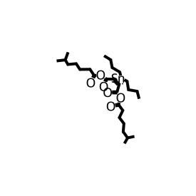 CC(C)CCCCC(=O)OC(=O)/C=C\C(=O)OC(=O)CCCCC(C)C.CCC[CH2][Sn][CH2]CCC